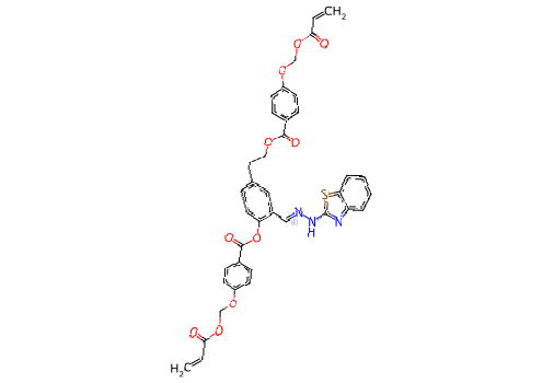 C=CC(=O)OCOc1ccc(C(=O)OCCc2ccc(OC(=O)c3ccc(OCOC(=O)C=C)cc3)c(/C=N/Nc3nc4ccccc4s3)c2)cc1